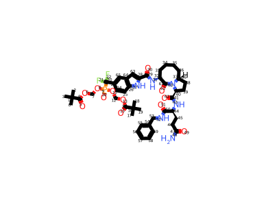 CC(C)(C)C(=O)OCOP(=O)(OCOC(=O)C(C)(C)C)C(F)(F)c1ccc2[nH]c(C(=O)N[C@H]3CCCC[C@H]4CC[C@@H](C(=O)N[C@@H](CCC(N)=O)C(=O)NCc5ccccc5)N4C3=O)cc2c1